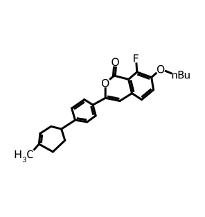 CCCCOc1ccc2cc(-c3ccc(C4CC=C(C)CC4)cc3)oc(=O)c2c1F